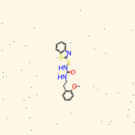 COc1ccccc1CCNC(=O)NSc1nc2ccccc2s1